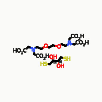 O=C(O)CN(CCOCCOCCN(CC(=O)O)CC(=O)O)CC(=O)O.O[C@H](CS)[C@@H](O)CS